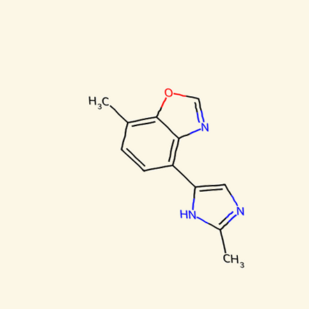 Cc1ncc(-c2ccc(C)c3ocnc23)[nH]1